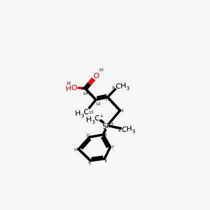 CC(C[Si](C)(C)c1ccccc1)=C(C)C(=O)O